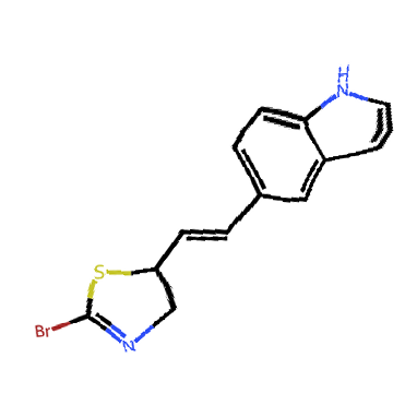 BrC1=NCC(C=Cc2ccc3[nH]ccc3c2)S1